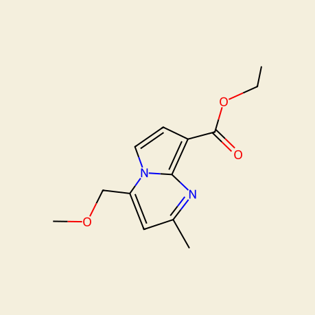 CCOC(=O)c1ccn2c(COC)cc(C)nc12